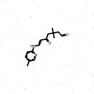 Cc1ccc(N/C=C/C(=O)CC(C)(C)CC=O)nc1